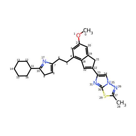 COc1cc(CCC2=CCC(C3CCCCC3)=N2)c2c(c1)CC(c1cn3nc(C)sc3n1)=C2